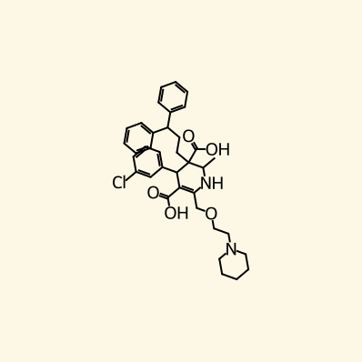 CC1NC(COCCN2CCCCC2)=C(C(=O)O)C(c2cccc(Cl)c2)C1(CCC(c1ccccc1)c1ccccc1)C(=O)O